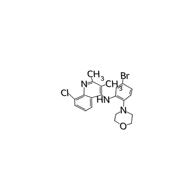 Cc1nc2c(Cl)cccc2c(Nc2cc(Br)ccc2N2CCOCC2)c1C